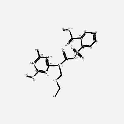 CCOCN(C(=O)NS(=O)(=O)c1ccccc1C(=O)OC)c1nc(C)nc(OC)n1